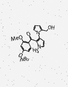 CCCCOc1ccc(C(=O)c2c(-n3cccc3CO)ccn2S)c(OC)c1